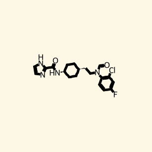 O=CN(CC[C@H]1CC[C@@H](NC(=O)c2ncc[nH]2)CC1)c1ccc(F)cc1Cl